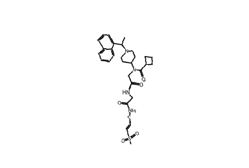 CC(c1cccc2ccccc12)N1CCC(N(CC(=O)NCC(=O)NCC=CS(C)(=O)=O)C(=O)C2CCC2)CC1